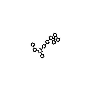 c1ccc(-c2cccc(-c3nc(-c4ccccc4)nc(-c4ccc(-c5ccc(-c6cccc7c6-c6ccccc6C76c7ccccc7-c7ccccc76)cc5)cc4)n3)c2)cc1